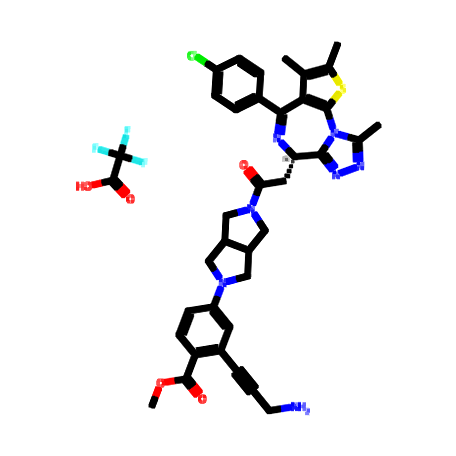 COC(=O)c1ccc(N2CC3CN(C(=O)C[C@@H]4N=C(c5ccc(Cl)cc5)c5c(sc(C)c5C)-n5c(C)nnc54)CC3C2)cc1C#CCN.O=C(O)C(F)(F)F